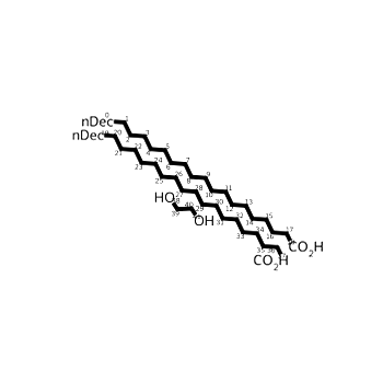 CCCCCCCCCCCCCCCCCCCCCCCCCCCC(=O)O.CCCCCCCCCCCCCCCCCCCCCCCCCCCC(=O)O.OCCO